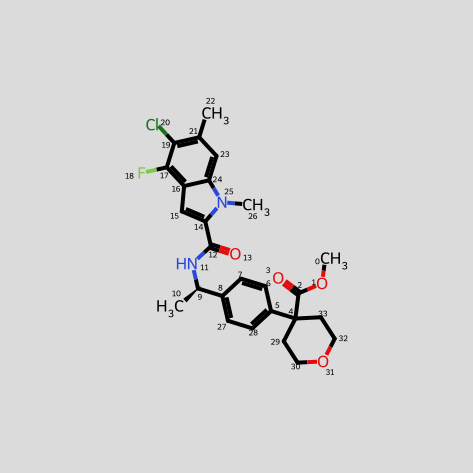 COC(=O)C1(c2ccc([C@@H](C)NC(=O)c3cc4c(F)c(Cl)c(C)cc4n3C)cc2)CCOCC1